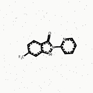 O=c1c2ccc(C(F)(F)F)cc2[se]n1-c1ccccn1